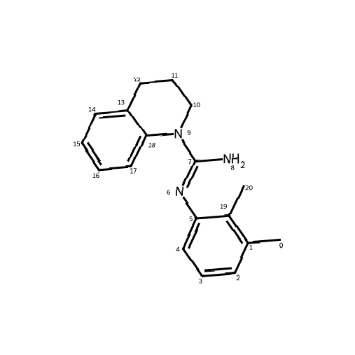 Cc1cccc(N=C(N)N2CCCc3ccccc32)c1C